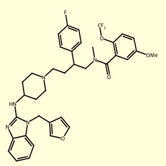 COc1ccc(OC(F)(F)F)c(C(=O)N(C)CC(CCN2CCC(Nc3nc4ccccc4n3Cc3ccoc3)CC2)c2ccc(F)cc2)c1